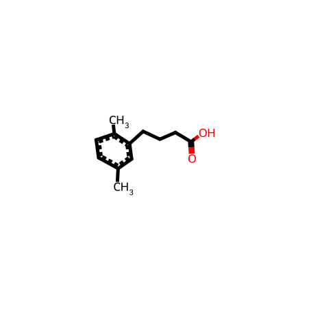 Cc1ccc(C)c(CCCC(=O)O)c1